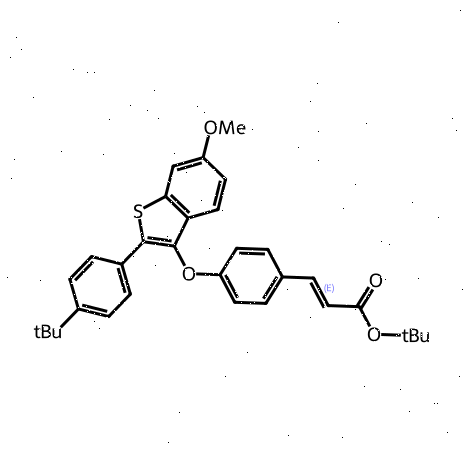 COc1ccc2c(Oc3ccc(/C=C/C(=O)OC(C)(C)C)cc3)c(-c3ccc(C(C)(C)C)cc3)sc2c1